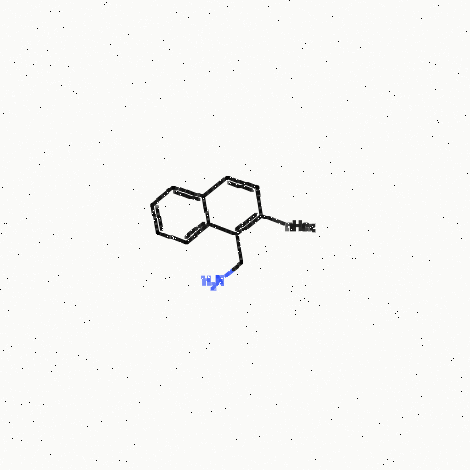 CCCCCCc1ccc2ccccc2c1CN